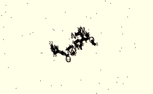 CCOc1cc(-c2ccc(N3CCN(C(=O)C#CC4CCN(C)C4)CC3)nc2)c2c(C#N)cnn2c1